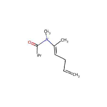 C=CCC=C(C)N(C)C(=O)C(C)C